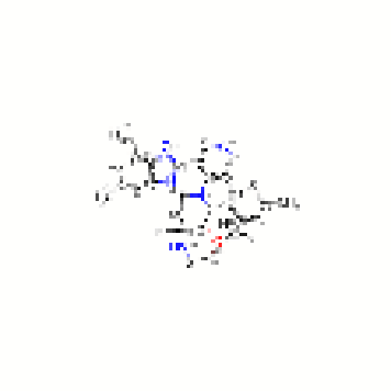 Cc1cc(C)cc(-c2cncc(-c3nc4cc(C)cc(C)c4[nH]3)c2N2CC[C@H]3NCCO[C@@H]3C2)c1